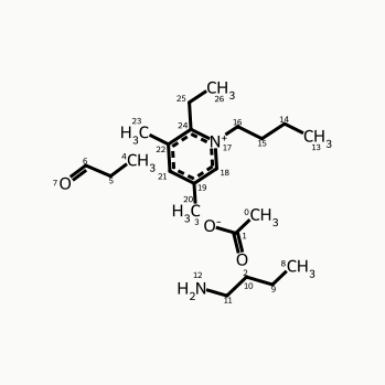 CC(=O)[O-].CCC=O.CCCCN.CCCC[n+]1cc(C)cc(C)c1CC